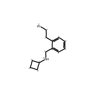 CC(C)CCc1cc[c]cc1CNC1CCC1